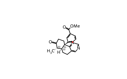 COC(=O)c1cccc([C@]23CCC(=O)[C@@H](C)[C@@H]2CCc2cncnc23)c1